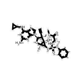 C#C[C@]1(F)[C@H](n2cnc3c(NC4CC4)nc(N)nc32)O[C@@H]2C(OP(=O)(N[C@@H](C)C(=O)OC)Oc3ccccc3)[C@@]21O